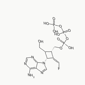 Nc1ncnc2c1ncn2[C@H]1/C(=C\F)[C@@H](COP(=O)(O)OP(=O)(O)OP(=O)(O)O)C1CO